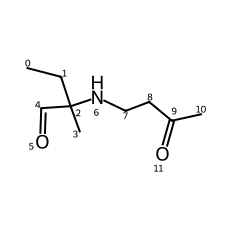 CCC(C)(C=O)NCCC(C)=O